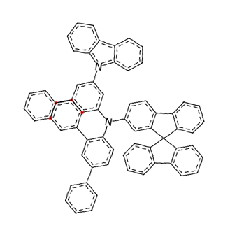 c1ccc(-c2cc(N(c3ccc4c(c3)C3(c5ccccc5-c5ccccc53)c3ccccc3-4)c3ccc(-c4ccccc4)cc3-c3ccccc3)cc(-n3c4ccccc4c4ccccc43)c2)cc1